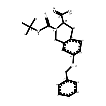 CC(C)(C)OC(=O)N1Cc2cc(OCc3ccccc3)ccc2CC1C(=O)O